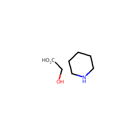 C1CCNCC1.O=C(O)CO